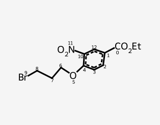 CCOC(=O)c1ccc(OCCCBr)c([N+](=O)[O-])c1